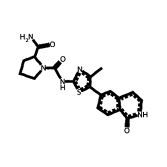 Cc1nc(NC(=O)N2CCCC2C(N)=O)sc1-c1ccc2c(=O)[nH]ccc2c1